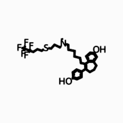 CN(CCCCCCC1=C(c2ccc(O)cc2)CCCc2cc(O)ccc21)CCCSCCCC(F)(F)C(F)(F)F